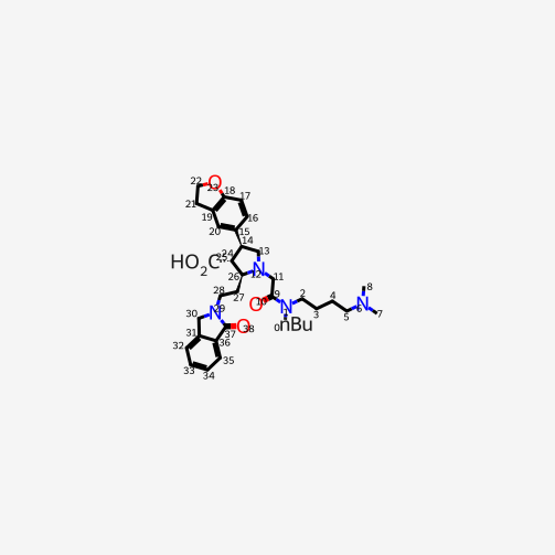 CCCCN(CCCCN(C)C)C(=O)CN1C[C@H](c2ccc3c(c2)CCO3)[C@@H](C(=O)O)[C@@H]1CCN1Cc2ccccc2C1=O